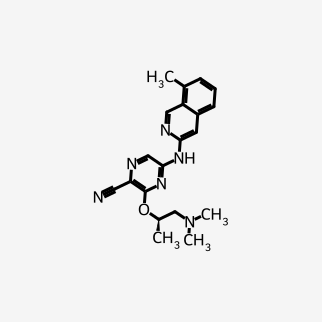 Cc1cccc2cc(Nc3cnc(C#N)c(O[C@H](C)CN(C)C)n3)ncc12